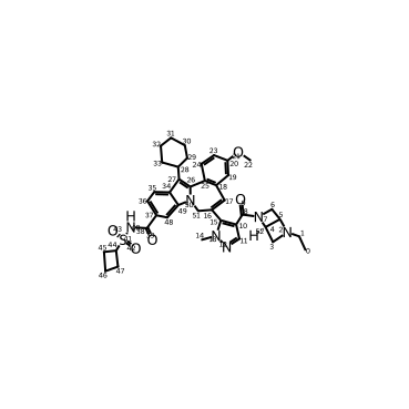 CCN1C[C@@H]2C1CN2C(=O)c1cnn(C)c1C1=Cc2cc(OC)ccc2-c2c(C3CCCCC3)c3ccc(C(=O)NS(=O)(=O)C4CCC4)cc3n2C1